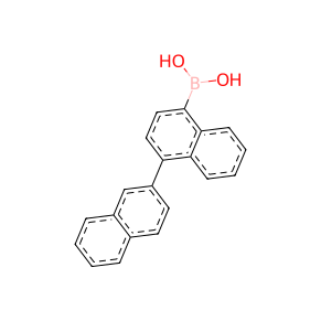 OB(O)c1ccc(-c2ccc3ccccc3c2)c2ccccc12